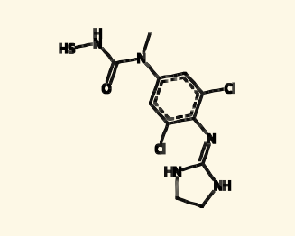 CN(C(=O)NS)c1cc(Cl)c(N=C2NCCN2)c(Cl)c1